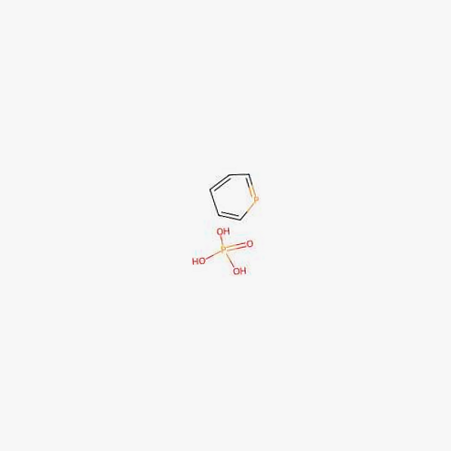 O=P(O)(O)O.c1ccpcc1